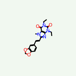 CCn1c(=O)c2c(nc(C=Cc3ccc4c(c3)OCO4)n2C)n(CC)c1=O